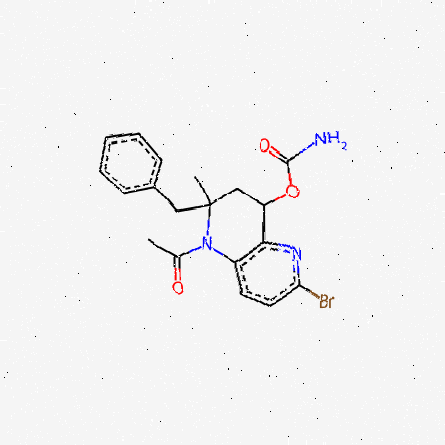 CC(=O)N1c2ccc(Br)nc2C(OC(N)=O)CC1(C)Cc1ccccc1